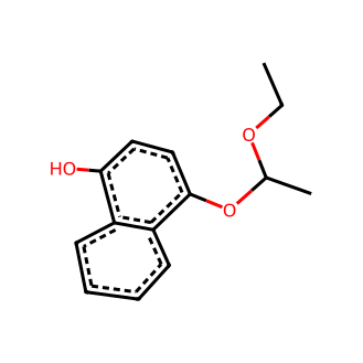 CCOC(C)Oc1ccc(O)c2ccccc12